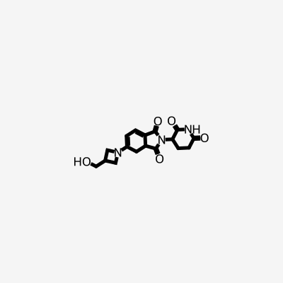 O=C1CCC(N2C(=O)C3=CC=C(N4CC(CO)C4)CC3C2=O)C(=O)N1